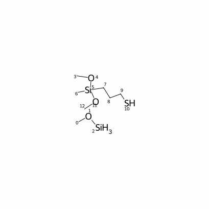 CO[SiH3].CO[Si](C)(CCCS)OC